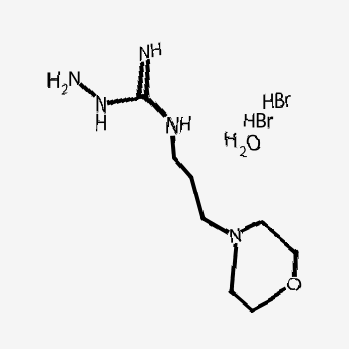 Br.Br.N=C(NN)NCCCN1CCOCC1.O